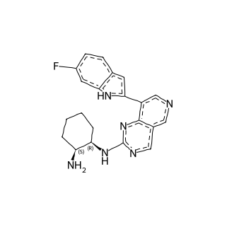 N[C@H]1CCCC[C@H]1Nc1ncc2cncc(-c3cc4ccc(F)cc4[nH]3)c2n1